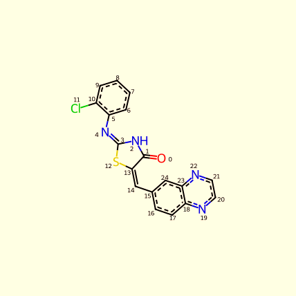 O=C1NC(=Nc2ccccc2Cl)SC1=Cc1ccc2nccnc2c1